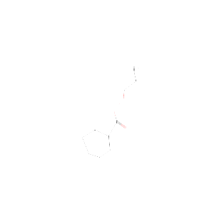 CC(C)CCOOC(=O)C1CCCCC1